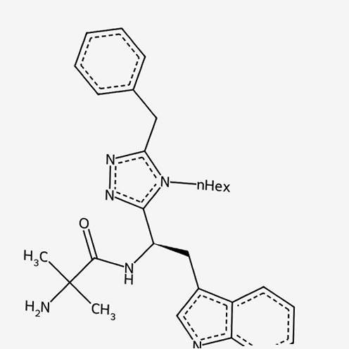 CCCCCCn1c(Cc2ccccc2)nnc1[C@@H](Cc1c[nH]c2ccccc12)NC(=O)C(C)(C)N